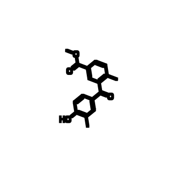 COC(=O)c1ccc(C)c(C(=O)c2ccc(O)c(C)c2)c1